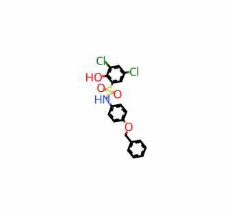 O=S(=O)(Nc1ccc(OCc2ccccc2)cc1)c1cc(Cl)cc(Cl)c1O